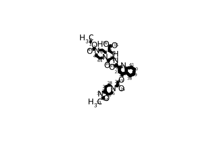 CCOC(=O)N1CCN(C(=O)[C@H](CCC(=O)O)NC(=O)c2cc(OCC(=O)N3CCc4nc(C)oc4C3)c3ccccc3n2)CC1